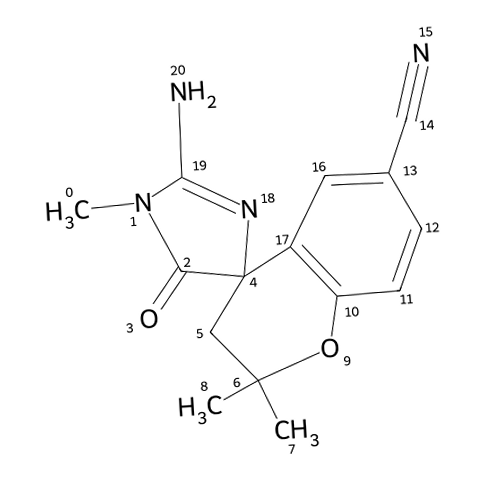 CN1C(=O)C2(CC(C)(C)Oc3ccc(C#N)cc32)N=C1N